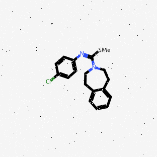 CS/C(=N/c1ccc(Cl)cc1)N1CCc2ccccc2CC1